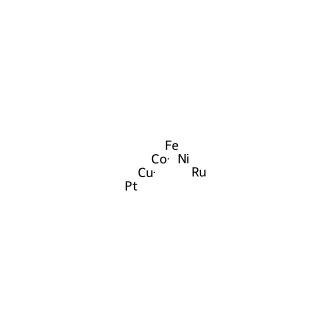 [Co].[Cu].[Fe].[Ni].[Pt].[Ru]